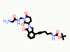 CC(C)(C)OC(=O)NCCCC#Cc1cccc2c1CN(C1CCC(=O)N(CNC(=O)CN)C1=O)C2=O